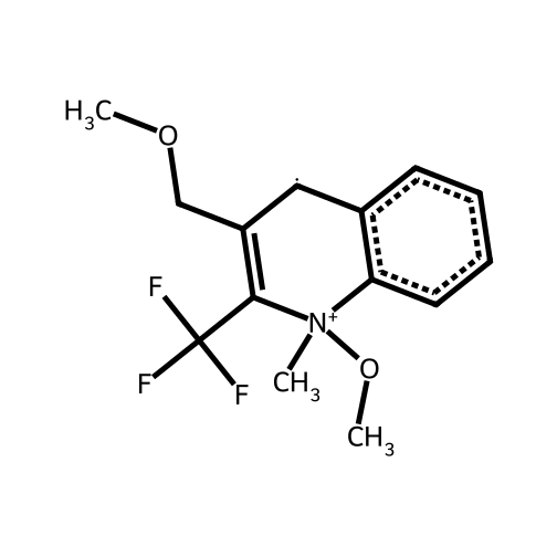 COCC1=C(C(F)(F)F)[N+](C)(OC)c2ccccc2[CH]1